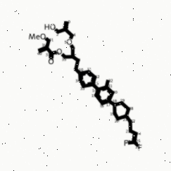 C=C(CO)COCC(CCc1ccc(-c2ccc(C3CCC(CCC=C(F)F)CC3)cc2C)cc1)COC(=O)C(=C)COC